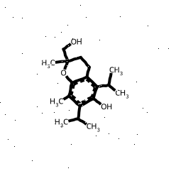 Cc1c2c(c(C(C)C)c(O)c1C(C)C)CCC(C)(CO)O2